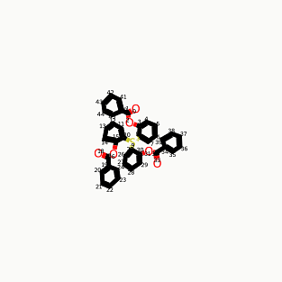 O=C(Oc1ccccc1[S+](c1ccccc1OC(=O)c1ccccc1)c1ccccc1OC(=O)c1ccccc1)c1ccccc1